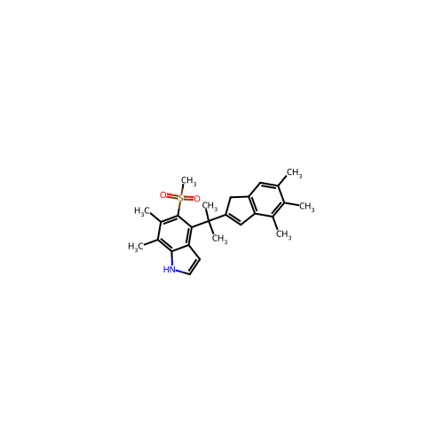 Cc1cc2c(c(C)c1C)C=C(C(C)(C)c1c(S(C)(=O)=O)c(C)c(C)c3[nH]ccc13)C2